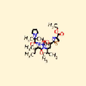 CCOC(=O)c1csc([C@H](O)CC(C(C)C)N(C)C(=O)[C@@H](NC(=O)C(C)(C)N2CCCC2)[C@@H](C)CC)n1